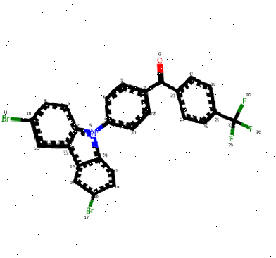 O=C(c1ccc(-n2c3ccc(Br)cc3c3cc(Br)ccc32)cc1)c1ccc(C(F)(F)F)cc1